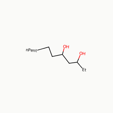 CCCCCCCC(O)CC(O)CC